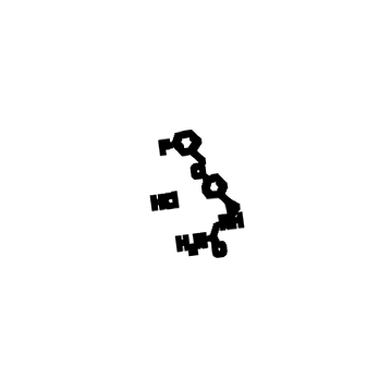 Cl.NC(=O)CNC1CC1c1ccc(OCc2cccc(F)c2)cc1